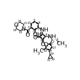 CC[C@@H](Nc1c(Nc2cccc(C(=O)N3CCOCC3)c2O)c(=O)c1=O)c1cc(C2CC2)c(C)o1